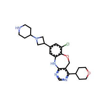 Clc1cc(C2CN(C3CCNCC3)C2)cc2c1OCc1c(ncnc1C1CCOCC1)N2